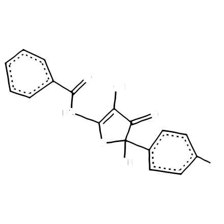 CC1(c2ccc(Cl)cc2)OC(NC(=O)c2ccccc2)=C(O)C1=O